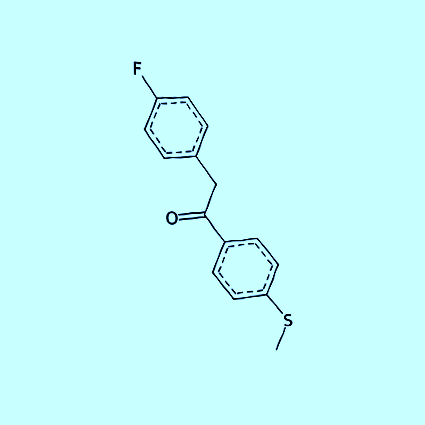 CSc1ccc(C(=O)Cc2ccc(F)cc2)cc1